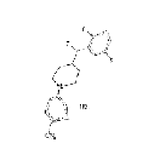 N#Cc1ccc(N2CCC(C(F)c3cc(F)ccc3F)CC2)c([N+](=O)[O-])c1